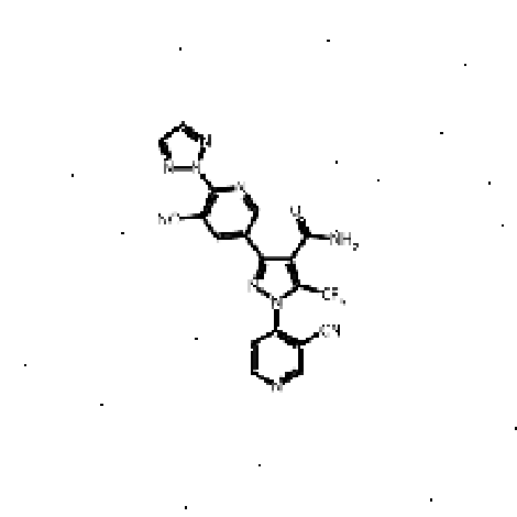 N#Cc1cnccc1-n1nc(-c2cnc(-n3nccn3)c(C#N)c2)c(C(N)=O)c1C(F)(F)F